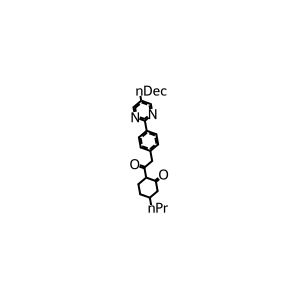 CCCCCCCCCCc1cnc(-c2ccc(CC(=O)C3CCC(CCC)CC3=O)cc2)nc1